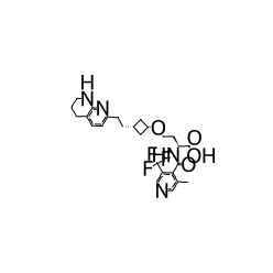 Cc1cncc(C(F)(F)F)c1C(=O)N[C@@H](CCO[C@H]1C[C@@H](CCc2ccc3c(n2)NCCC3)C1)C(=O)O